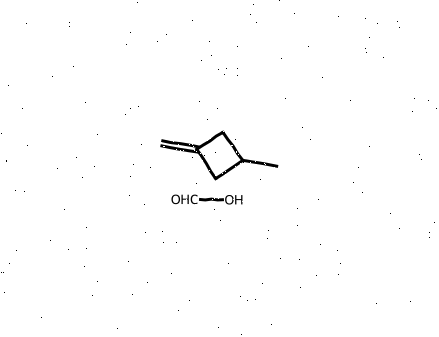 C=C1CC(C)C1.O=CO